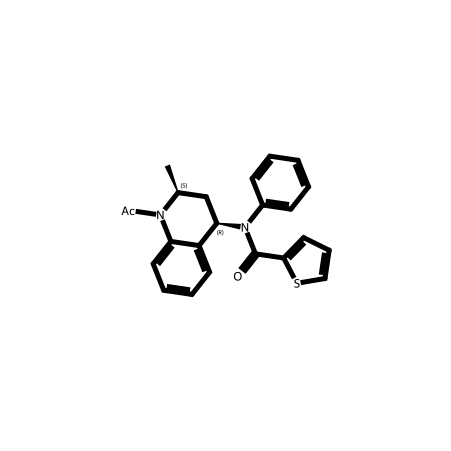 CC(=O)N1c2ccccc2[C@H](N(C(=O)c2cccs2)c2ccccc2)C[C@@H]1C